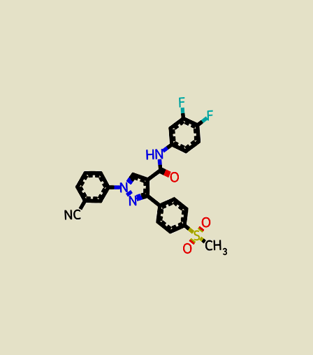 CS(=O)(=O)c1ccc(-c2nn(-c3cccc(C#N)c3)cc2C(=O)Nc2ccc(F)c(F)c2)cc1